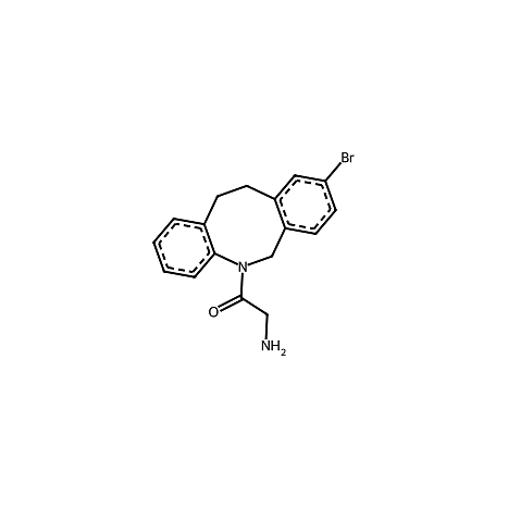 NCC(=O)N1Cc2ccc(Br)cc2CCc2ccccc21